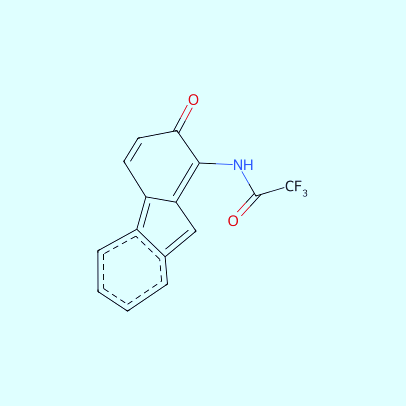 O=C1C=CC2=c3ccccc3=CC2=C1NC(=O)C(F)(F)F